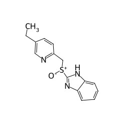 CCc1ccc(C[S+]([O-])c2nc3ccccc3[nH]2)nc1